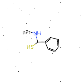 [CH2]CCNC(S)c1ccccc1